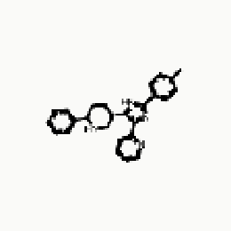 Cc1ccc(-c2nc(-c3ccccn3)c([C@@H]3CC[C@H](c4ccccc4)NC3)[nH]2)cc1